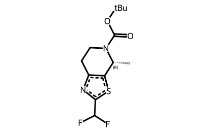 C[C@@H]1c2sc(C(F)F)nc2CCN1C(=O)OC(C)(C)C